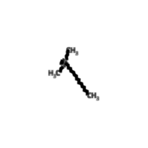 CCCCCCCCCCCCCCCCCc1n(CCCCC)cc[n+]1CCCC